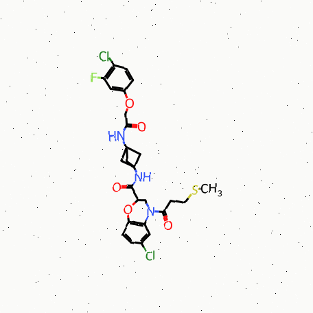 CSCCC(=O)N1CC(C(=O)NC23CC(NC(=O)COc4ccc(Cl)c(F)c4)(C2)C3)Oc2ccc(Cl)cc21